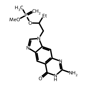 C=P(C)(OC)OC(CC)Cn1cnc2cc3c(=O)[nH]c(N)nc3cc21